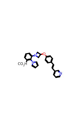 O=C(O)c1cccc(N2CC(Oc3ccc(C=Cc4cccnc4)cc3)C2)c1-n1cccc1